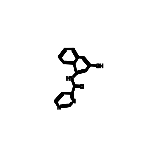 O=C(Nc1cc(O)cc2ccccc12)c1ccncn1